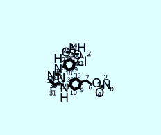 CN(C)C(=O)OCCc1ccc(Nc2nc(Nc3ccc(Cl)c(S(N)(=O)=O)c3)ncc2F)cc1